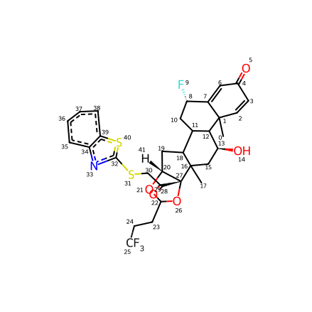 CC12C=CC(=O)C=C1[C@@H](F)CC1C2[C@@H](O)CC2(C)C1C[C@H]1OC(CCC(F)(F)F)O[C@]12C(=O)CSc1nc2ccccc2s1